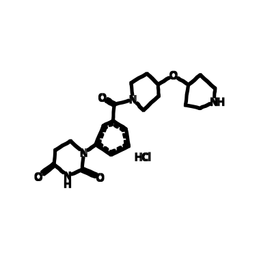 Cl.O=C1CCN(c2cccc(C(=O)N3CCC(OC4CCNCC4)CC3)c2)C(=O)N1